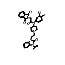 C=C(C)n1c(=O)n(CCN2CCC(N(C(=O)CN3C(=O)c4ccccc4C3=O)c3ccc(C)c(Cl)c3)CC2)c2ccccc21